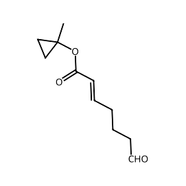 CC1(OC(=O)/C=C/CCCC=O)CC1